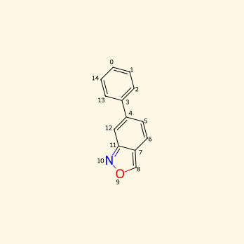 c1ccc(-c2ccc3conc3c2)cc1